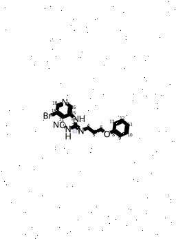 N#CN/C(=N/CCCOc1ccccc1)Nc1cncc(Br)c1